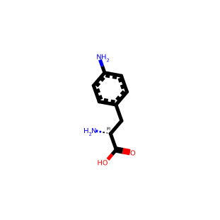 Nc1ccc(C[C@@H](N)C(=O)O)cc1